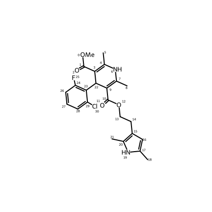 COC(=O)C1=C(C)NC(C)=C(C(=O)OCCc2cc(C)[nH]c2C)C1c1c(F)cccc1Cl